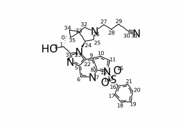 C[C@@H](O)c1nc2cnc3c(ccn3S(=O)(=O)c3ccccc3)c2n1[C@@H]1CN(CCCC#N)CC12CC2